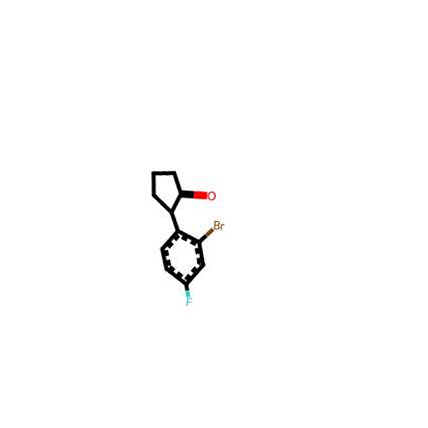 O=C1CCCC1c1ccc(F)cc1Br